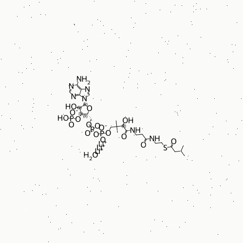 CC(C)CC(=O)SCCNC(=O)CCNC(=O)[C@H](O)C(C)(C)COP(=O)([O-])OP(=O)([O-])OC[C@H]1O[C@@H](n2cnc3c(N)ncnc32)[C@H](O)[C@@H]1OP(=O)([O-])O.O.[Li+].[Li+].[Li+]